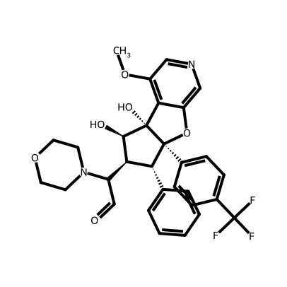 COc1cncc2c1[C@]1(O)[C@H](O)[C@H](C(C=O)N3CCOCC3)[C@@H](c3ccccc3)[C@]1(c1ccc(C(F)(F)F)cc1)O2